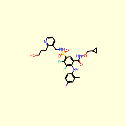 Cc1cc(I)ccc1Nc1c(C(=O)NOCC2CC2)cc(S(=O)(=O)NCc2cccnc2CCCO)c(F)c1F